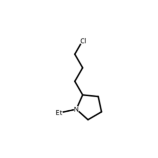 CCN1CCCC1CCCCl